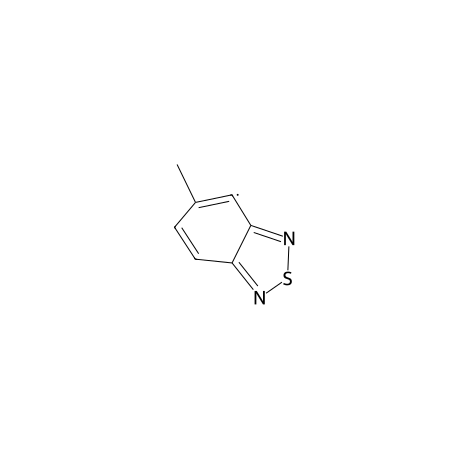 Cc1[c]c2nsnc2cc1